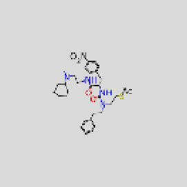 CC(=O)SCCN(CCc1ccccc1)C(=O)N[C@@H](Cc1ccc([N+](=O)[O-])cc1)C(=O)NCCN(C)C1CCCCC1